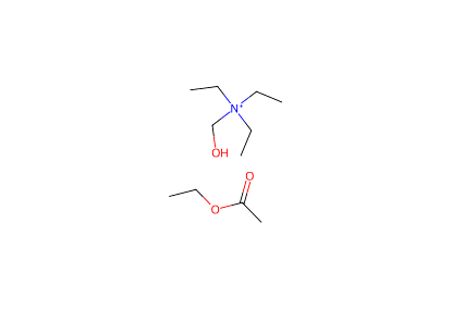 CCOC(C)=O.CC[N+](CC)(CC)CO